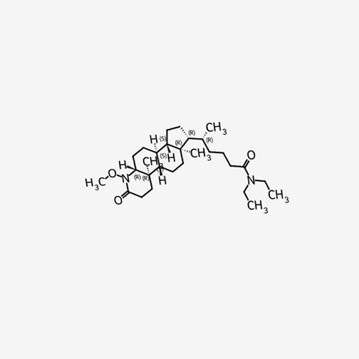 CCN(CC)C(=O)CCC[C@@H](C)[C@H]1CC[C@H]2[C@@H]3CC[C@H]4N(OC)C(=O)CC[C@]4(C)[C@H]3CC[C@]12C